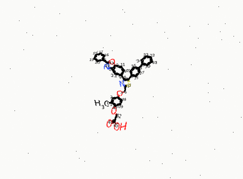 Cc1cc(OCc2nc(-c3ccc4oc(-c5ccccc5)nc4c3)c(-c3ccc(-c4ccccc4)cc3)s2)ccc1OCC(=O)O